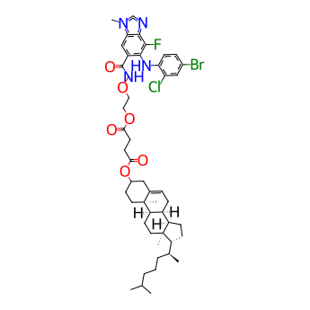 CC(C)CCC[C@H](C)[C@H]1CC[C@@H]2[C@@H]3CC=C4CC(OC(=O)CCC(=O)OCCONC(=O)c5cc6c(ncn6C)c(F)c5Nc5ccc(Br)cc5Cl)CC[C@]4(C)[C@@H]3CC[C@@]21C